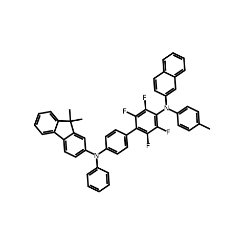 Cc1ccc(N(c2ccc3ccccc3c2)c2c(F)c(F)c(-c3ccc(N(c4ccccc4)c4ccc5c(c4)C(C)(C)c4ccccc4-5)cc3)c(F)c2F)cc1